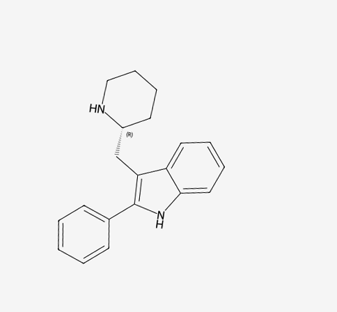 c1ccc(-c2[nH]c3ccccc3c2C[C@H]2CCCCN2)cc1